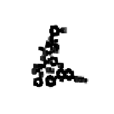 C=C[C@@H]1C[C@]1(NC(=O)[C@@H]1C[C@@H](Oc2cc(-c3ccccc3)nc3cc(OC)ccc23)CN1C(=O)[C@@H](NC(=O)OC1CCCC1)C(C)(C)C)P(C)(=O)Oc1cccc(Cl)c1